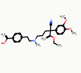 C=C(OC)c1ccc(CCN(C)CCCC(C#N)(C(=C)OCC)c2ccc(OC)c(OC)c2)cc1